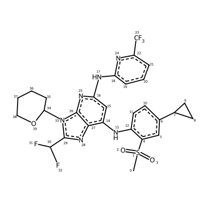 CS(=O)(=O)c1cc(C2CC2)ccc1Nc1cc(Nc2cccc(C(F)(F)F)n2)nc2c1nc(C(F)F)n2C1CCCCO1